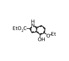 CCOC(=O)c1cc2c(O)c(OCC)ccc2[nH]1